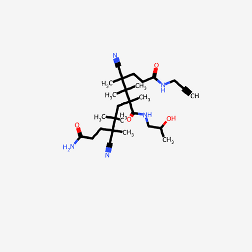 C#CCNC(=O)CCC(C)(C#N)C(C)(C)C(C)(CC(C)(C)C(C)(C#N)CCC(N)=O)C(=O)NCC(C)O